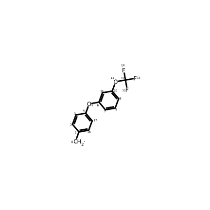 [CH2]c1ccc(Oc2cccc(OC(F)(F)F)c2)cc1